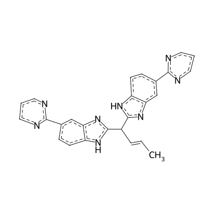 CC=CC(c1nc2cc(-c3ncccn3)ccc2[nH]1)c1nc2cc(-c3ncccn3)ccc2[nH]1